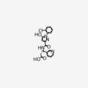 O=C(O)C[C@H](NC(=O)c1cc(O)n(-c2ccccc2Cl)n1)c1cccnc1